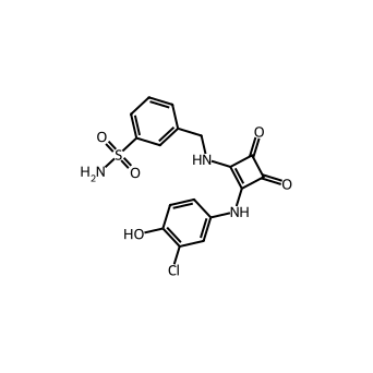 NS(=O)(=O)c1cccc(CNc2c(Nc3ccc(O)c(Cl)c3)c(=O)c2=O)c1